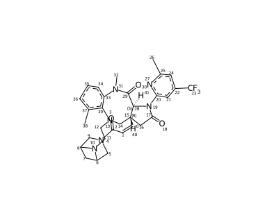 C=CC(=O)N1CC2CC(C1)N2CCN1C[C@H]2CC(=O)N(c3cc(C(F)(F)F)cc(C)n3)[C@@H]2C(=O)N(C)c2cccc(C)c21